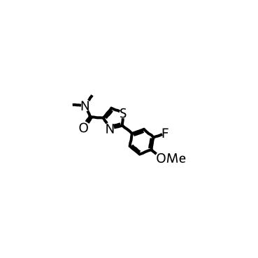 COc1ccc(-c2nc(C(=O)N(C)C)cs2)cc1F